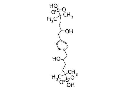 CC(C)(CCC(O)Cc1ccc(CC(O)CCC(C)(C)S(=O)(=O)O)cc1)S(=O)(=O)O